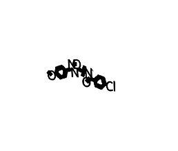 COc1ccc(-c2noc(C(C)(C)N(C)C(=O)c3ccc(Cl)cc3)n2)cc1